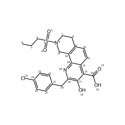 CCCS(=O)(=O)N1CCc2ccc3c(C(=O)O)c(O)c(Cc4ccc(Cl)cc4)nc3c2C1